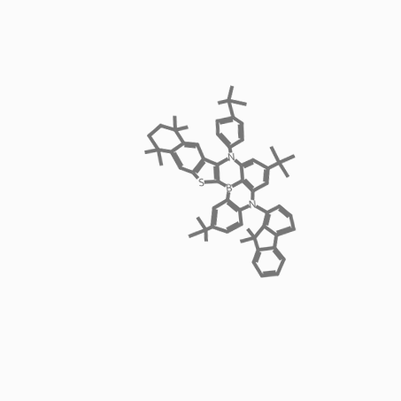 CC(C)(C)c1ccc(N2c3cc(C(C)(C)C)cc4c3B(c3cc(C(C)(C)C)ccc3N4c3cccc4c3C(C)(C)c3ccccc3-4)c3sc4cc5c(cc4c32)C(C)(C)CCC5(C)C)cc1